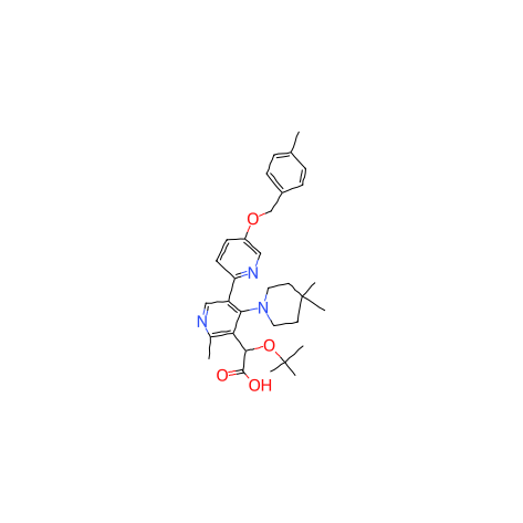 Cc1ccc(COc2ccc(-c3cnc(C)c(C(OC(C)(C)C)C(=O)O)c3N3CCC(C)(C)CC3)nc2)cc1